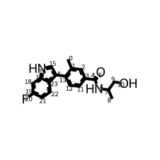 Cc1cc(C(=O)NC(C)CO)ccc1-c1c[nH]c2cc(F)ccc12